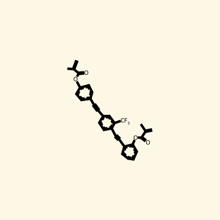 C=C(C)C(=O)Oc1ccc(C#Cc2ccc(C#Cc3ccccc3OC(=O)C(=C)C)c(C(F)(F)F)c2)cc1